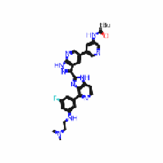 CN(C)CCNc1cc(F)cc(-c2nccc3[nH]c(-c4n[nH]c5ncc(-c6cncc(NC(=O)C(C)(C)C)c6)cc45)nc23)c1